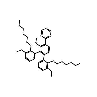 CCCCCCOc1c(CC)cccc1-c1ccc(-c2ncncn2)c(OC)c1-c1cccc(CC)c1OCCCCCC